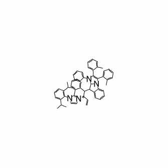 C=CC1C(C2c3ccccc3N3C(c4ccccc4C)=C(c4ccccc4C)N(c4ccccc4)C23)c2ccccc2-c2n(-c3c(C(C)C)cccc3C(C)C)cc[n+]21